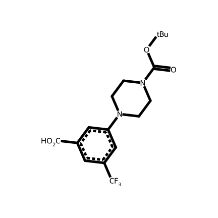 CC(C)(C)OC(=O)N1CCN(c2cc(C(=O)O)cc(C(F)(F)F)c2)CC1